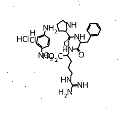 Cl.Cl.N=C(N)NCCCC(NC(=O)C(Cc1ccccc1)NC(=O)[C@H]1CCCN1)C(=O)O.Nc1ccc([N+](=O)[O-])cc1